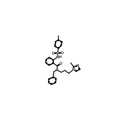 Cc1ccc(S(=O)(=O)Nc2ccccc2C(=O)N(CCCn2ccnc2C)Cc2ccccc2)cc1